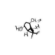 C[C@H]1C[C@@H](O)[C@H]2[C@@H]1C2(F)F